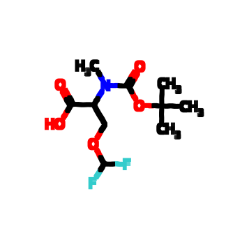 CN(C(=O)OC(C)(C)C)C(COC(F)F)C(=O)O